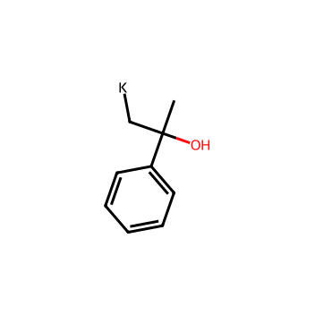 CC(O)([CH2][K])c1ccccc1